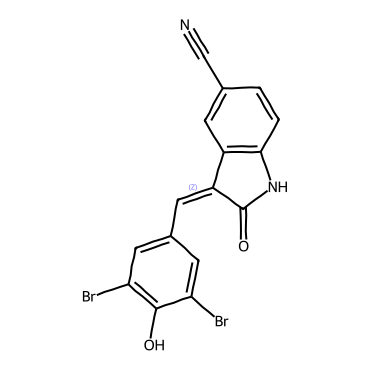 N#Cc1ccc2c(c1)/C(=C/c1cc(Br)c(O)c(Br)c1)C(=O)N2